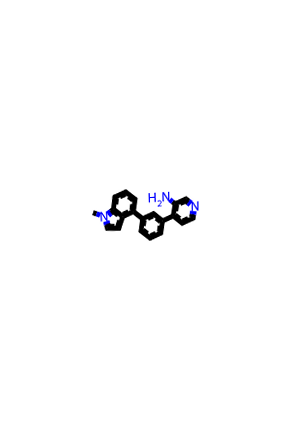 Cn1ccc2c(-c3cccc(-c4ccncc4N)c3)cccc21